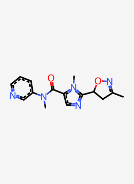 CC1=NOC(c2ncc(C(=O)N(C)c3cccnc3)n2C)C1